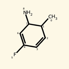 CC1C=CC(F)=CC1N